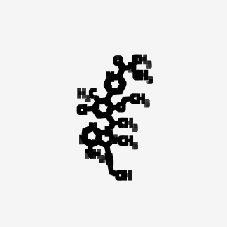 CCOc1c(C(C)N2c3ncnc(N)c3C(C#CCO)N2C)cc(Cl)c(C)c1-c1ccc(C(=O)N(C)C)nc1